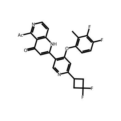 CC(=O)c1nccc2[nH]c(-c3cnc(C4CC(F)(F)C4)cc3Oc3ccc(F)c(F)c3C)cc(=O)c12